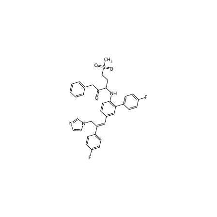 CS(=O)(=O)CCC(Nc1ccc(C=C(Cn2ccnc2)c2ccc(F)cc2)cc1-c1ccc(F)cc1)C(=O)Cc1ccccc1